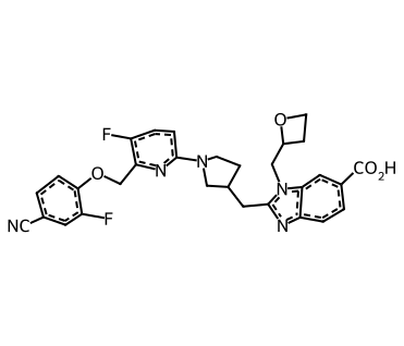 N#Cc1ccc(OCc2nc(N3CCC(Cc4nc5ccc(C(=O)O)cc5n4CC4CCO4)C3)ccc2F)c(F)c1